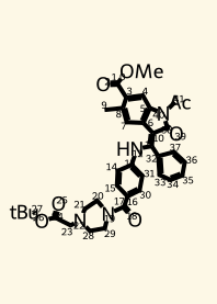 COC(=O)c1cc2c(cc1C)/C(=C(\Nc1ccc(C(=O)N3CCN(CC(=O)OC(C)(C)C)CC3)cc1)c1ccccc1)C(=O)N2C(C)=O